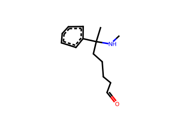 CNC(C)(CCCCC=O)c1ccccc1